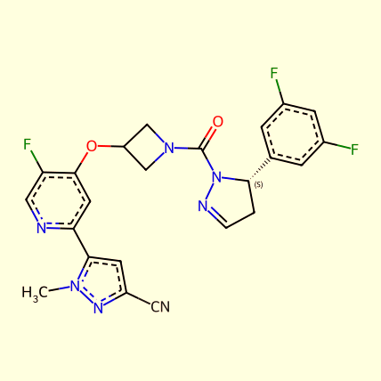 Cn1nc(C#N)cc1-c1cc(OC2CN(C(=O)N3N=CC[C@H]3c3cc(F)cc(F)c3)C2)c(F)cn1